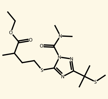 CCOC(=O)C(C)CCSc1nc(C(C)(C)SC)nn1C(=O)N(C)C